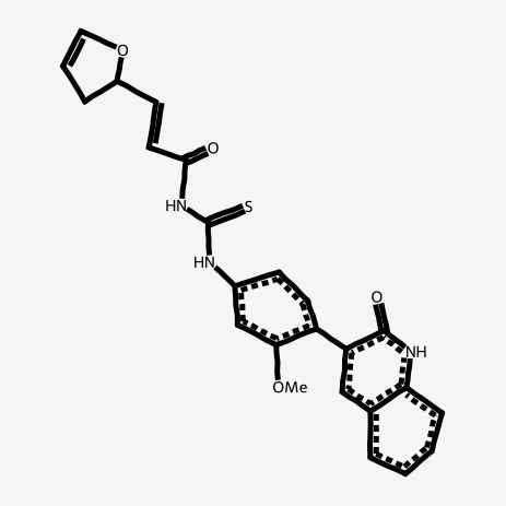 COc1cc(NC(=S)NC(=O)/C=C/C2CC=CO2)ccc1-c1cc2ccccc2[nH]c1=O